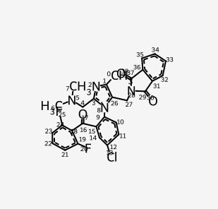 Cc1nc(CN(C)C)n(-c2ccc(Cl)cc2C(=O)c2c(F)cccc2F)c1CN1C(=O)c2ccccc2C1=O